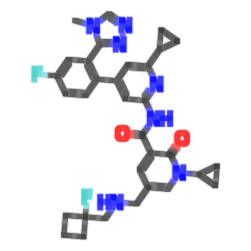 Cn1cnnc1-c1cc(F)ccc1-c1cc(NC(=O)c2cc(CNCC3(F)CCC3)cn(C3CC3)c2=O)nc(C2CC2)c1